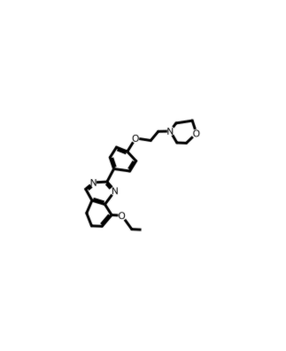 CCOC1=CCCc2cnc(-c3ccc(OCCN4CCOCC4)cc3)nc21